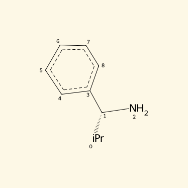 CC(C)[C@@H](N)c1ccccc1